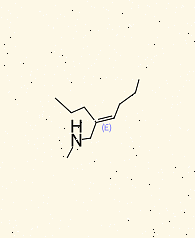 CCC/C=C(\CCC)CNC